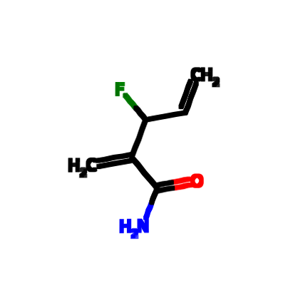 C=CC(F)C(=C)C(N)=O